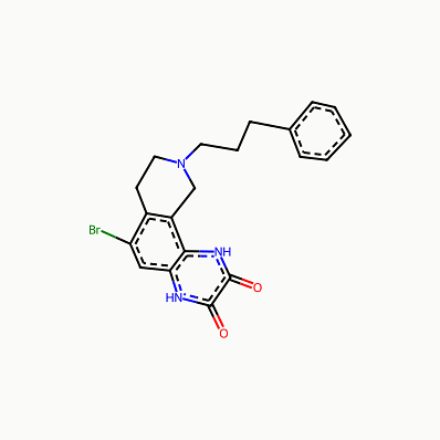 O=c1[nH]c2cc(Br)c3c(c2[nH]c1=O)CN(CCCc1ccccc1)CC3